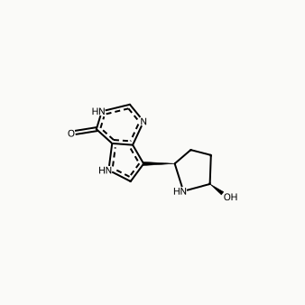 O=c1[nH]cnc2c([C@H]3CC[C@@H](O)N3)c[nH]c12